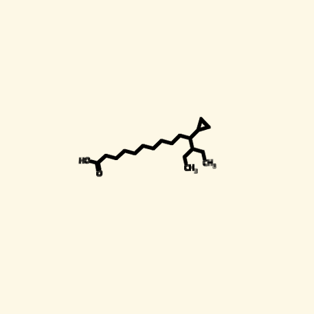 CCC(CC)C(CCCCCCCCCC(=O)O)C1CC1